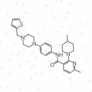 Cc1ccc(C(=O)Nc2ccc(N3CCN(Cc4cccs4)CC3)cc2)c(N2CCC(C)CC2)n1